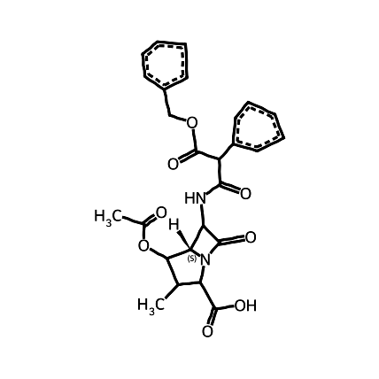 CC(=O)OC1C(C)C(C(=O)O)N2C(=O)C(NC(=O)C(C(=O)OCc3ccccc3)c3ccccc3)[C@@H]12